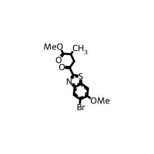 COC(=O)C(C)CC(=O)c1nc2cc(Br)c(OC)cc2s1